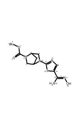 CC(C)(C)OC(=O)N1CC2CC1CN2c1ncc(/C(N)=N/O)s1